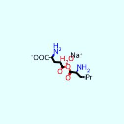 CC(C)C[C@H](N)C(=O)OC(=O)CC[C@@H](N)C(=O)[O-].O.[Na+]